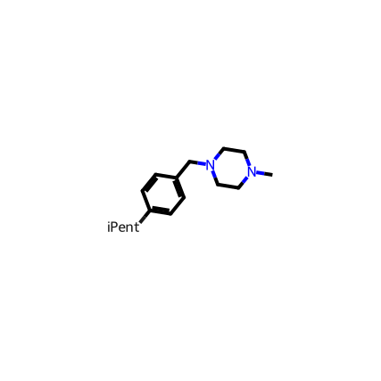 CCCC(C)c1ccc(CN2CCN(C)CC2)cc1